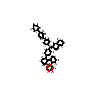 c1ccc(-c2ccc(-c3ccc(N(c4ccc(-c5cccc(-c6ccccc6)c5-c5ccccc5-c5ccccc5)cc4)c4ccc5ccccc5c4)cc3)cc2)cc1